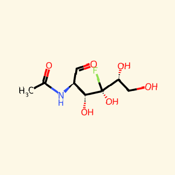 CC(=O)N[C@@H](C=O)[C@@H](O)[C@@](O)(F)[C@H](O)CO